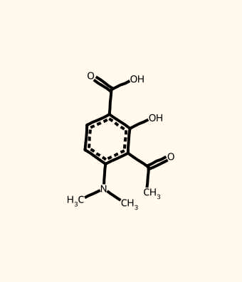 CC(=O)c1c(N(C)C)ccc(C(=O)O)c1O